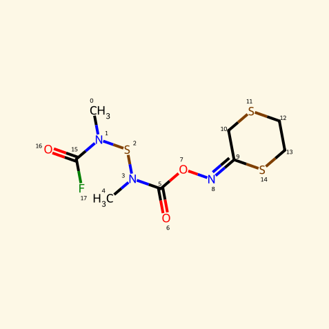 CN(SN(C)C(=O)ON=C1CSCCS1)C(=O)F